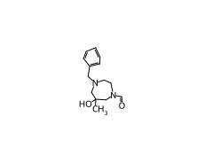 CC1(O)CN(C=O)CCN(Cc2ccccc2)C1